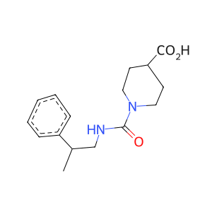 CC(CNC(=O)N1CCC(C(=O)O)CC1)c1ccccc1